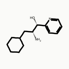 N[C@H](CC1CCCCC1)[C@H](O)c1ccccn1